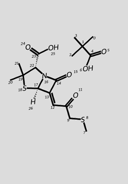 CC(C)(C)C(=O)O.CSCC(=O)/C=C1\C(=O)N2[C@@H]1SC(C)(C)[C@@H]2C(=O)O